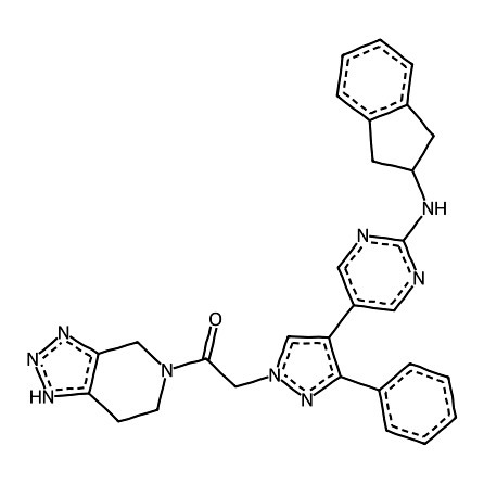 O=C(Cn1cc(-c2cnc(NC3Cc4ccccc4C3)nc2)c(-c2ccccc2)n1)N1CCc2[nH]nnc2C1